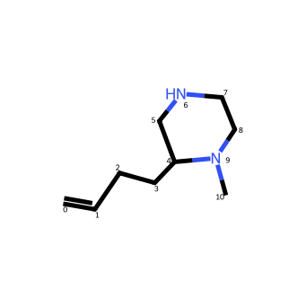 C=CCCC1CNCCN1C